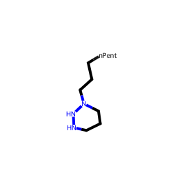 CCCCCCCCN1CCCNN1